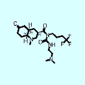 CN(C)CCNC(=O)N(CCCC(F)(F)F)C(=O)[C@@H]1C[C@@H]2CC(=O)CC[C@H]2N(C)C1